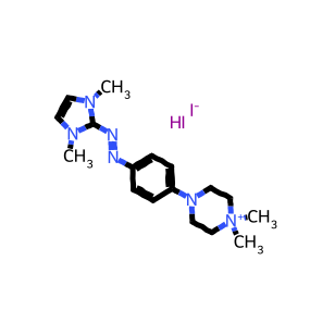 CN1C=CN(C)C1/N=N/c1ccc(N2CC[N+](C)(C)CC2)cc1.I.[I-]